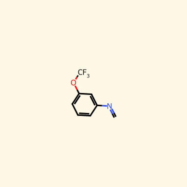 C=Nc1cccc(OC(F)(F)F)c1